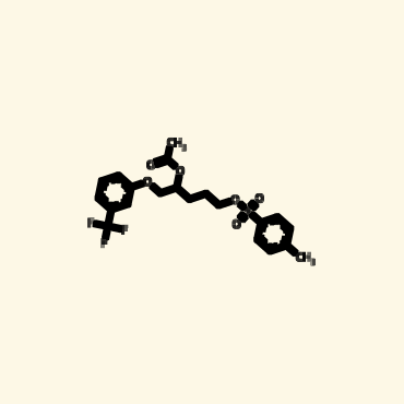 CC(=O)OC(CCCOS(=O)(=O)c1ccc(C)cc1)COc1cccc(C(F)(F)F)c1